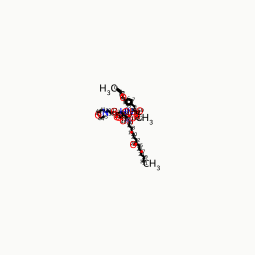 CC#CCOc1ccc(C[C@H](NC(=O)[C@@H](/C=C/CCCCCCC(=O)CCCCCCC)[C@@](O)(CC(=O)OCCN2CCOCC2)C(=O)O)C(=O)OC)cc1